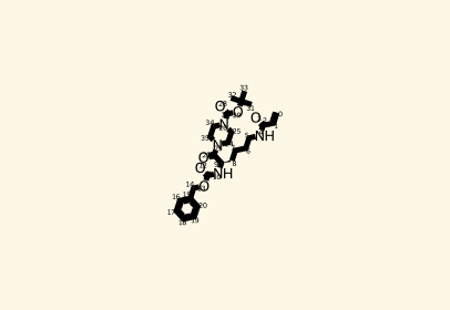 C=CC(=O)NCCCC[C@H](NC(=O)OCc1ccccc1)C(=O)N1CCN(C(=O)OC(C)(C)C)CC1